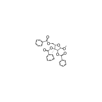 CO[C@@H]1O[C@H](COC(=O)c2ccccc2)[C@](C)(OC(=O)c2ccccc2)C1OC(=O)c1ccccc1